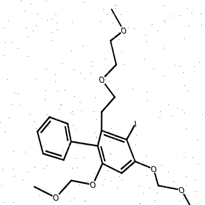 COCCOCCc1c(I)c(OCOC)cc(OCOC)c1-c1ccccc1